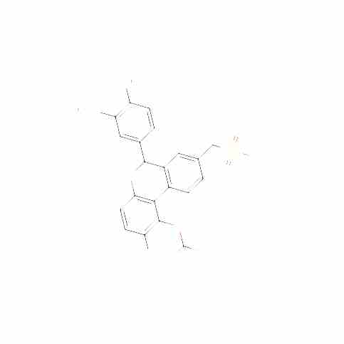 COc1ccc(C2Oc3ccc(C)c(OC(F)F)c3-c3ccc(CS(N)(=O)=O)cc32)cc1OC